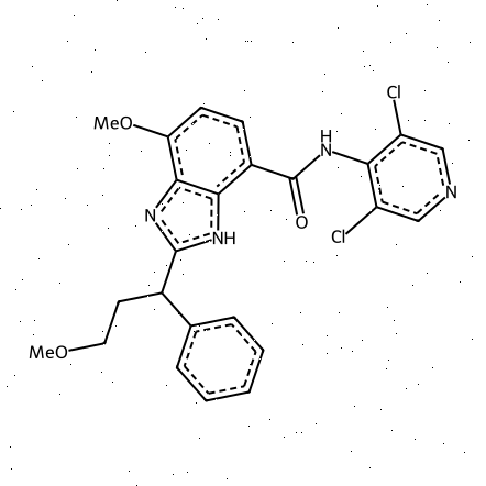 COCCC(c1ccccc1)c1nc2c(OC)ccc(C(=O)Nc3c(Cl)cncc3Cl)c2[nH]1